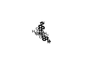 CCC(NC(C)N1C(=O)c2cccc3c(-n4ccnc4)ccc(c23)C1=O)NC(C)N1C(=O)c2cccc3c(-n4ccnc4)ccc(c23)C1=O